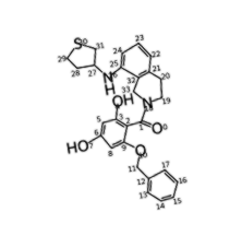 O=C(c1c(O)cc(O)cc1OCc1ccccc1)N1CCc2cccc(NC3CCSC3)c2C1